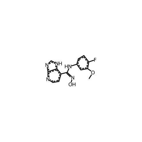 COc1cc(N/C(=N/O)c2ccnc3nc[nH]c23)ccc1F